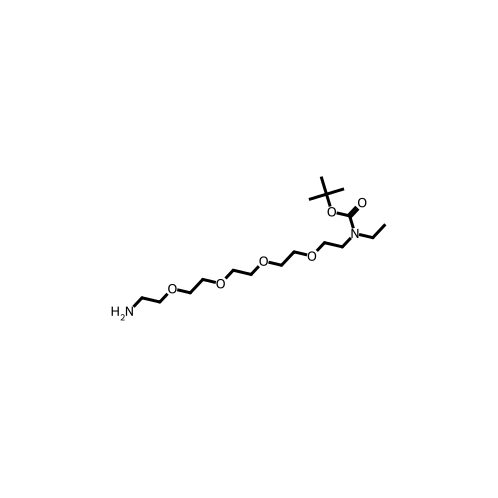 CCN(CCOCCOCCOCCOCCN)C(=O)OC(C)(C)C